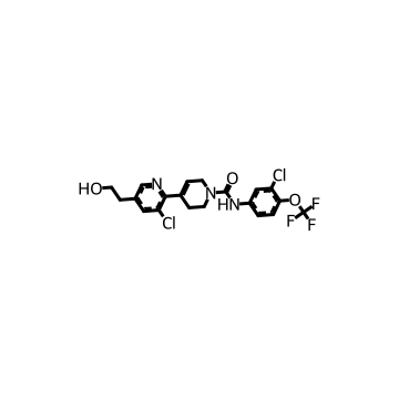 O=C(Nc1ccc(OC(F)(F)F)c(Cl)c1)N1CC=C(c2ncc(CCO)cc2Cl)CC1